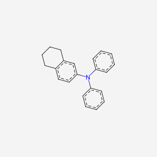 c1ccc(N(c2ccccc2)c2ccc3c(c2)CCCC3)cc1